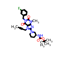 CC#CCn1c(N2CCC[C@@H](NC(=O)OC(C)(C)C)C2)nc2c1c(=O)n(Cc1cccc(F)c1)c(=O)n2C